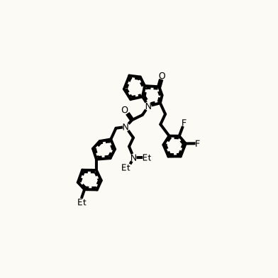 CCc1ccc(-c2ccc(CN(CCN(CC)CC)C(=O)Cn3c(CCc4cccc(F)c4F)cc(=O)c4ccccc43)cc2)cc1